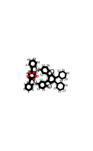 c1ccc2c(c1)c1ccccc1n2-c1ccc2oc3c(C4CCCCC4)c(C4CCCCC4)c4oc5ccc(-n6c7ccccc7c7ccccc76)cc5c4c3c2c1